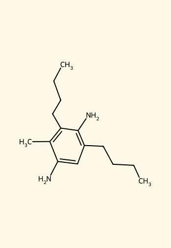 CCCCc1cc(N)c(C)c(CCCC)c1N